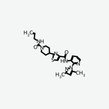 C=CCNC(=O)N1CCC(c2nc(C(=O)Nc3cccnc3-n3nc(C)cc3C)cs2)CC1